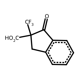 O=C(O)C1(C(F)(F)F)Cc2ccccc2C1=O